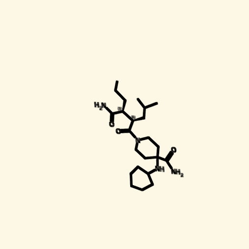 CCC[C@H](C(N)=O)[C@@H](CC(C)C)C(=O)N1CCC(NC2CCCCC2)(C(N)=O)CC1